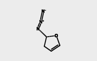 [N-]=[N+]=NC1CC=CO1